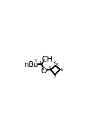 [CH2]CCCC(C)OC1CCC1